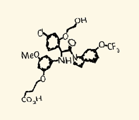 COc1cc(NC(C(=O)n2ccc3ccc(OC(F)(F)F)cc32)c2ccc(Cl)cc2OCCO)cc(OCCCC(=O)O)c1